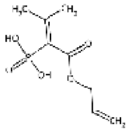 C=CCOC(=O)C(=C(C)C)P(=O)(O)O